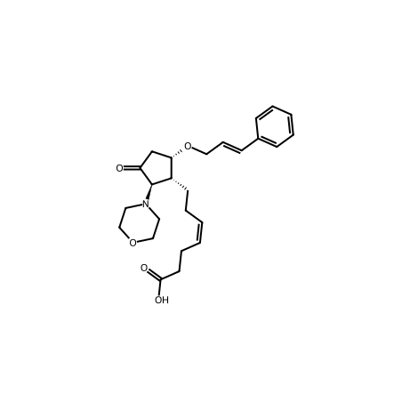 O=C(O)CC/C=C\CC[C@H]1[C@@H](OC/C=C/c2ccccc2)CC(=O)[C@@H]1N1CCOCC1